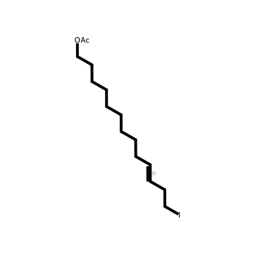 CC(=O)OCCCCCCCCC/C=C/CCI